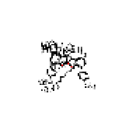 CC1=C(CCCCCCOC(C)(C)C)c2c(-c3ccc(C(C)(C)C)cc3)cccc2[CH]1[Zr]([CH3])([CH3])(=[SiH2])[CH]1C(C(C)C)=Cc2c(-c3ccc(C(C)(C)C)cc3)cccc21.Cl.Cl